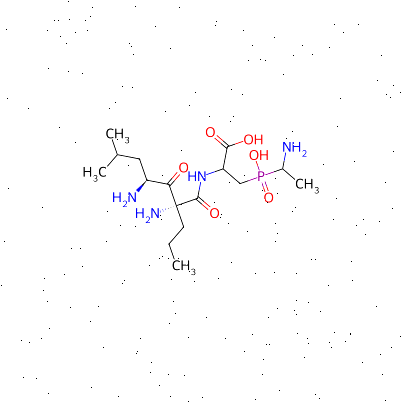 CCC[C@](N)(C(=O)NC(CP(=O)(O)C(C)N)C(=O)O)C(=O)[C@@H](N)CC(C)C